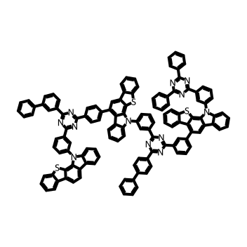 c1ccc(-c2ccc(-c3nc(-c4cccc(-c5cc6c7ccccc7n(-c7cccc(-c8nc(-c9ccccc9)nc(-c9ccccc9)n8)c7)c6c6sc7ccccc7c56)c4)nc(-c4cccc(-n5c6ccccc6c6c(-c7ccc(-c8nc(-c9cccc(-c%10ccccc%10)c9)nc(-c9cccc(-n%10c%11ccccc%11c%11ccc%12c%13ccccc%13sc%12c%11%10)c9)n8)cc7)cc7c8ccccc8sc7c65)c4)n3)cc2)cc1